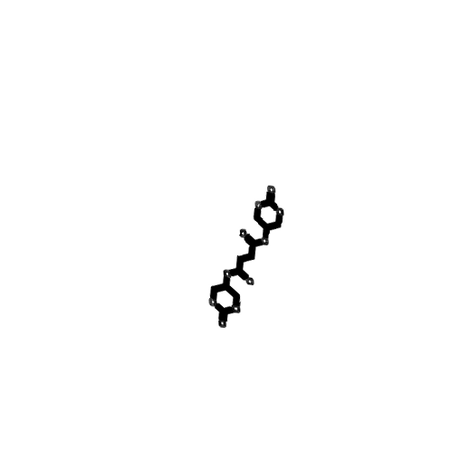 O=C(CCC(=O)OC1COC(=O)OC1)OC1COC(=O)OC1